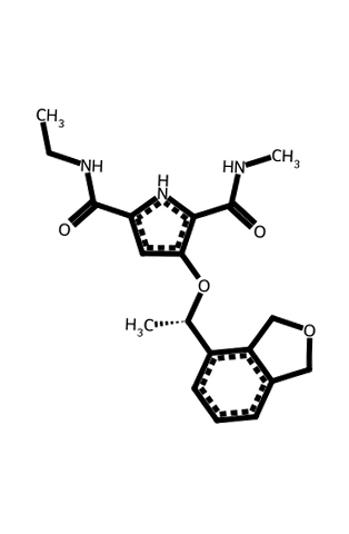 CCNC(=O)c1cc(O[C@@H](C)c2cccc3c2COC3)c(C(=O)NC)[nH]1